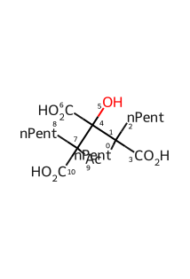 CCCCCC(CCCCC)(C(=O)O)C(O)(C(=O)O)C(CCCCC)(C(C)=O)C(=O)O